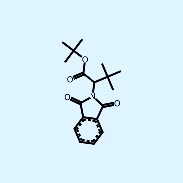 CC(C)(C)OC(=O)C(N1C(=O)c2ccccc2C1=O)C(C)(C)C